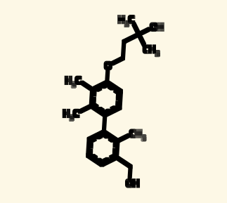 Cc1c(CO)cccc1-c1ccc(OCCC(C)(C)O)c(C)c1C